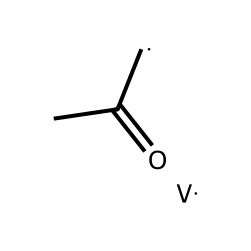 [CH2]C(C)=O.[V]